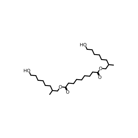 CC(CCCCCCO)COC(=O)CCCCCCCC(=O)OCC(C)CCCCCCO